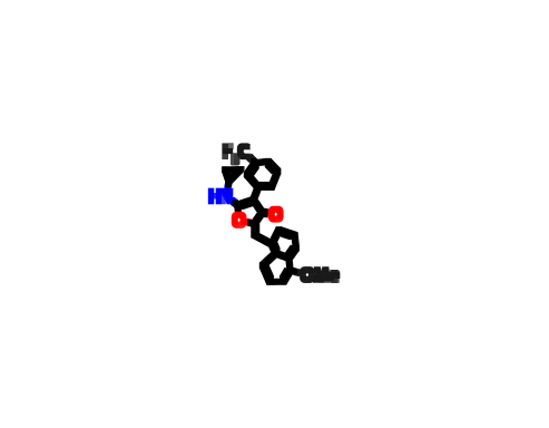 COc1cccc2c(C=C3OC(NC4CC4)=C(c4cccc(C(F)(F)F)c4)C3=O)cccc12